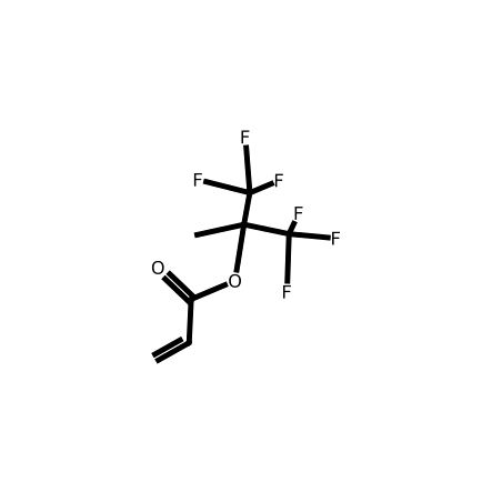 C=CC(=O)OC(C)(C(F)(F)F)C(F)(F)F